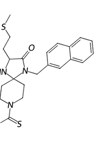 CSCCC1NC2(CCN(C(O)=S)CC2)N(Cc2ccc3ccccc3c2)C1=O